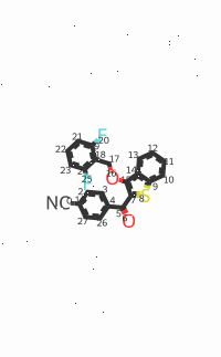 N#Cc1ccc(C(=O)c2sc3ccccc3c2OCc2c(F)cccc2F)cc1